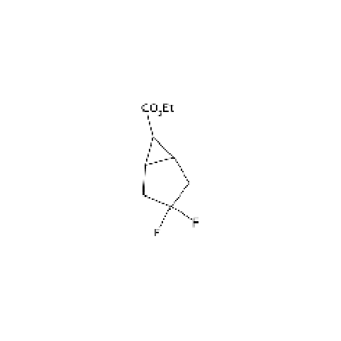 CCOC(=O)C1C2CC(F)(F)CC21